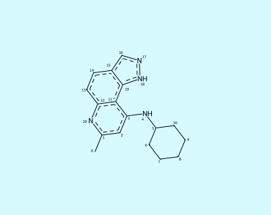 Cc1cc(NC2CCCCC2)c2c(ccc3cn[nH]c32)n1